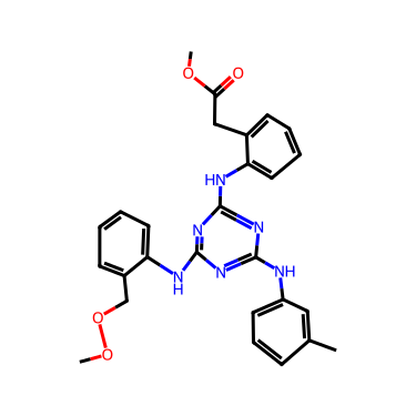 COOCc1ccccc1Nc1nc(Nc2cccc(C)c2)nc(Nc2ccccc2CC(=O)OC)n1